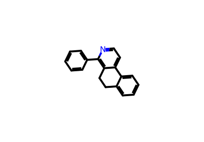 c1ccc(-c2nccc3c2CCc2ccccc2-3)cc1